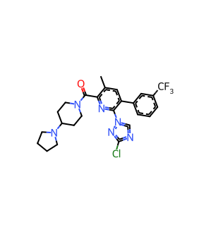 Cc1cc(-c2cccc(C(F)(F)F)c2)c(-n2cnc(Cl)n2)nc1C(=O)N1CCC(N2CCCC2)CC1